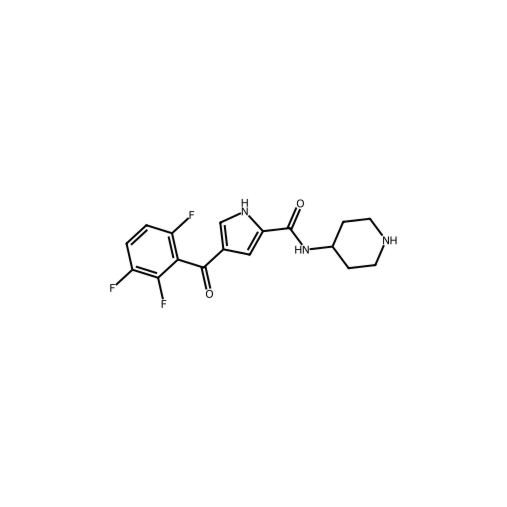 O=C(NC1CCNCC1)c1cc(C(=O)c2c(F)ccc(F)c2F)c[nH]1